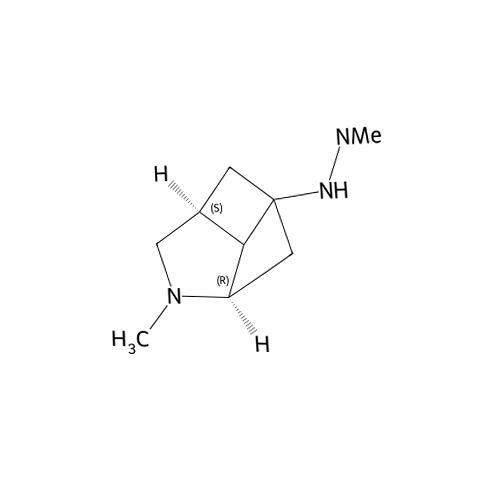 CNNC12C[C@@H]3CN(C)[C@H](C1)C32